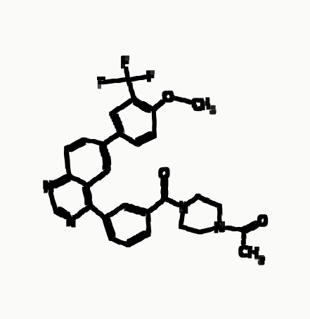 COc1ccc(-c2ccc3ncnc(-c4cccc(C(=O)N5CCN(C(C)=O)CC5)c4)c3c2)cc1C(F)(F)F